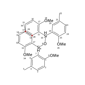 COc1ccc(C)cc1[SiH](O[SiH](c1cc(C)ccc1OC)c1cc(C)ccc1OC)c1cc(C)ccc1OC